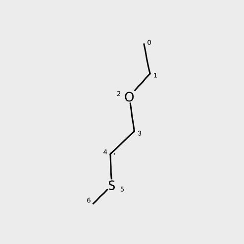 CCOC[CH]SC